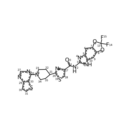 O=C(Nc1nc2cc3c(cc2[nH]1)OC(F)(F)O3)c1csc(C2CCN(c3ncnc4ccsc34)CC2)n1